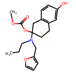 CCCN(Cc1ccco1)C1(OC(=O)OC)CCc2cc(O)ccc2C1